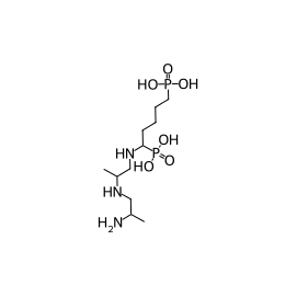 CC(N)CNC(C)CNC(CCCCP(=O)(O)O)P(=O)(O)O